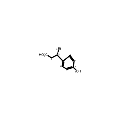 CC[C@H](CC(=O)O)c1ccc(O)cc1